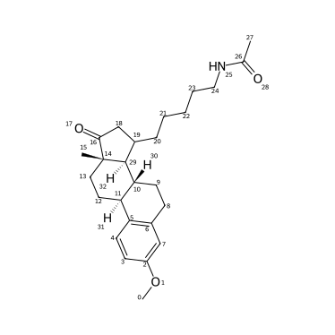 COc1ccc2c(c1)CC[C@@H]1[C@@H]2CC[C@]2(C)C(=O)CC(CCCCCNC(C)=O)[C@@H]12